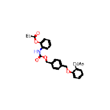 CCC(=O)Oc1ccccc1NC(=O)OCc1ccc(COc2ccccc2OC)cc1